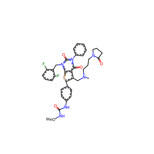 CONC(=O)Nc1ccc(-c2sc3c(c2CN(C)CCCN2CCCC2=O)c(=O)n(-c2ccccc2)c(=O)n3Cc2c(F)cccc2F)cc1